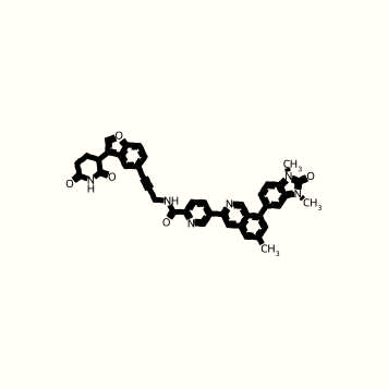 Cc1cc(-c2ccc3c(c2)n(C)c(=O)n3C)c2cnc(-c3ccc(C(=O)NCC#Cc4ccc5occ(C6CCC(=O)NC6=O)c5c4)nc3)cc2c1